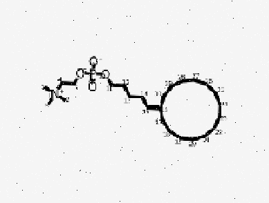 C[N+](C)(C)CCOP(=O)([O-])OCCCCC=C1CCCCCCCCCCCCCC1